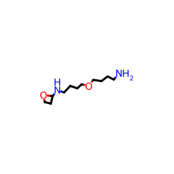 NCCCCOCCCCNC1CCO1